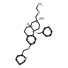 CCOC[C@@]1(O)CC[C@@]2(Cc3ccccc3)c3ccc(OCc4ccccn4)cc3CC[C@@H]2C1